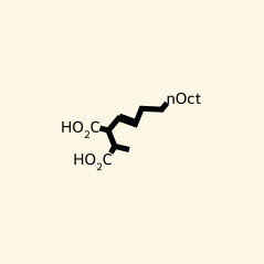 CCCCCCCCCCC=CC(C(=O)O)C(C)C(=O)O